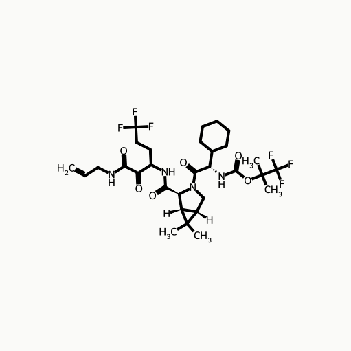 C=CCNC(=O)C(=O)C(CCC(F)(F)F)NC(=O)[C@@H]1[C@@H]2[C@H](CN1C(=O)[C@@H](NC(=O)OC(C)(C)C(F)(F)F)C1CCCCC1)C2(C)C